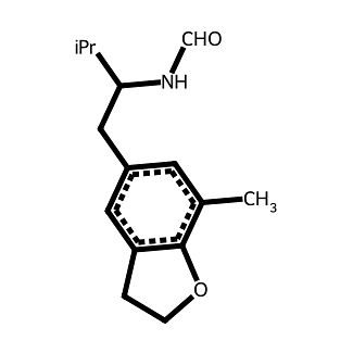 Cc1cc(CC(NC=O)C(C)C)cc2c1OCC2